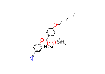 CCCCCCOc1ccc(C(=O)Oc2ccc(C#N)cc2)cc1.C[SiH2]O[SiH3]